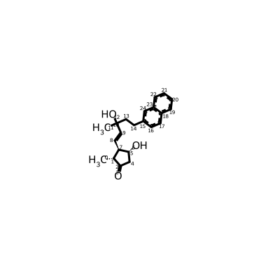 C[C@H]1C(=O)C[C@@H](O)[C@@H]1/C=C/C(C)(O)CCc1ccc2ccccc2c1